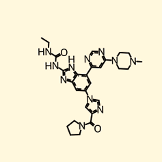 CCNC(=O)Nc1nc2cc(-n3cnc(C(=O)N4CCCC4)c3)cc(-c3cc(N4CCN(C)CC4)ncn3)c2[nH]1